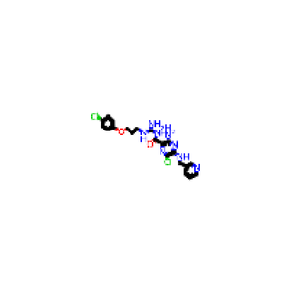 Nc1nc(NCc2cccnc2)c(Cl)nc1C(=O)NC(N)NCCCOc1ccc(Cl)cc1